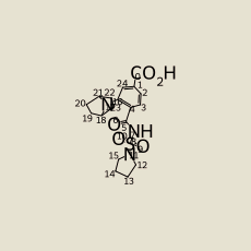 O=C(O)c1ccc(C(=O)NS(=O)(=O)N2CCCC2)c(N2C3CCC2CC3)c1